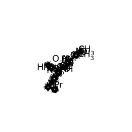 CC(C)c1ccccc1[C@@H]1CCCN1C1CC2(CCN(c3ccc(C(=O)NS(=O)(=O)c4cnc(NC[C@@H]5CCC(N=S(C)(C)=O)CO5)c([N+](=O)[O-])c4)c(Oc4cnc5[nH]ccc5c4)c3)CC2)C1